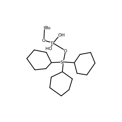 CC(C)(C)[O][Ti]([OH])([OH])[O][Si](C1CCCCC1)(C1CCCCC1)C1CCCCC1